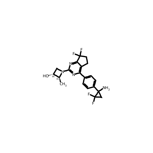 C[C@H]1[C@H](O)CN1c1nc(-c2ccc(C3(N)CC3(F)F)cc2)c2c(n1)C(F)(F)CC2